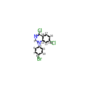 ClC1=NCN(c2ccc(Br)cc2)c2cc(Cl)ccc21